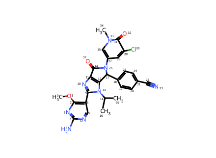 COc1nc(N)ncc1-c1nc2c(n1C(C)C)C(c1ccc(C#N)cc1)N(c1cc(Cl)c(=O)n(C)c1)C2=O